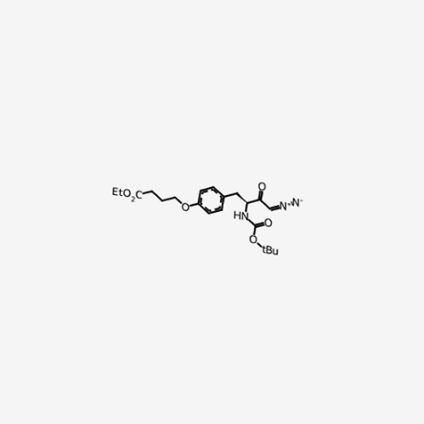 CCOC(=O)CCCOc1ccc(C[C@H](NC(=O)OC(C)(C)C)C(=O)C=[N+]=[N-])cc1